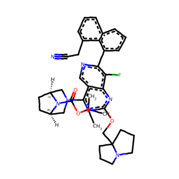 CC(C)(C)OC(=O)N1[C@@H]2CC[C@H]1CN(c1nc(OCC34CCCN3CCC4)nc3c(F)c(-c4cccc5cccc(CC#N)c45)ncc13)C2